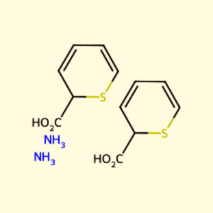 N.N.O=C(O)C1C=CC=CS1.O=C(O)C1C=CC=CS1